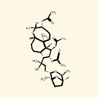 CC(=O)O[C@H]1[C@H](OC(C)=O)[C@@H]2C(CC[C@@H]3O[C@](C)(S)[C@H](OC(C)=O)CC[C@]32C)[C@H]1[C@@](C)(O)CC[C@@H]1O[C@@H](C)[C@H]2CC[C@]1(C)O2